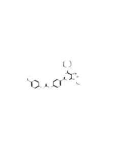 CCn1nnc2c(N3CCOC[C@@H]3C)nc(-c3ccc(NC(=O)Nc4ccc(CO)cc4)cc3)nc21